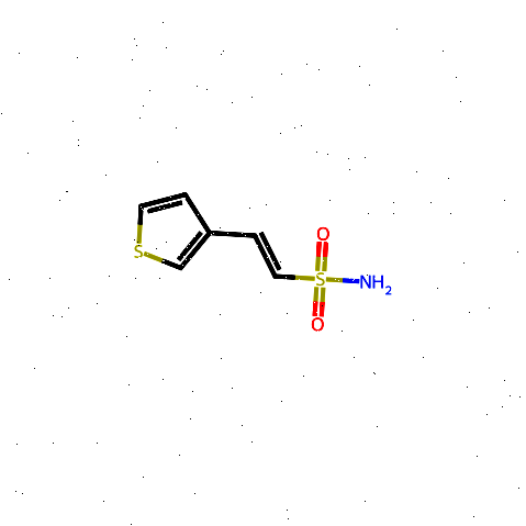 NS(=O)(=O)C=Cc1ccsc1